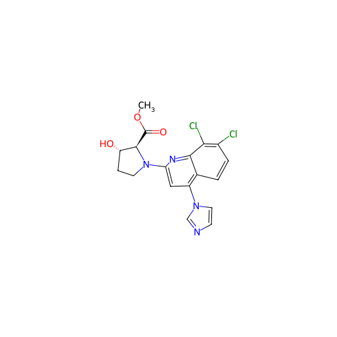 COC(=O)[C@@H]1[C@@H](O)CCN1c1cc(-n2ccnc2)c2ccc(Cl)c(Cl)c2n1